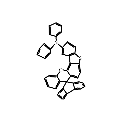 c1ccc(N(c2ccccc2)c2ccc3sc4ccc5c(c4c3c2)Oc2ccccc2C52c3ccccc3-c3ccccc32)cc1